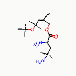 CC(COC(=O)C(N)CC(C)(C)N)CC(C)(C)OC(C)(C)C